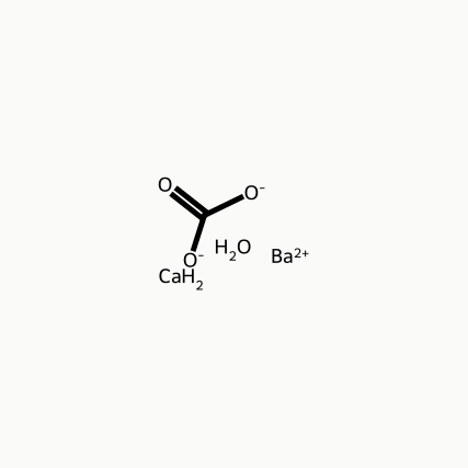 O.O=C([O-])[O-].[Ba+2].[CaH2]